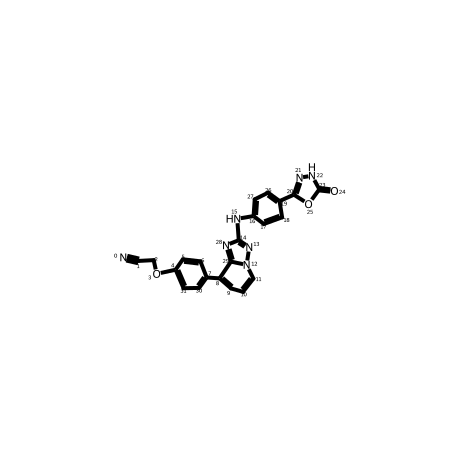 N#CCOc1ccc(-c2cccn3nc(Nc4ccc(-c5n[nH]c(=O)o5)cc4)nc23)cc1